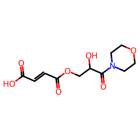 O=C(O)/C=C/C(=O)OCC(O)C(=O)N1CCOCC1